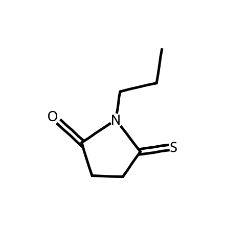 CCCN1C(=O)CCC1=S